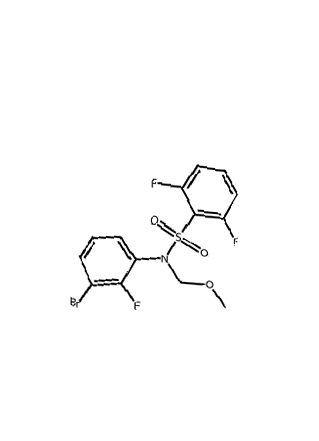 COCN(c1cccc(Br)c1F)S(=O)(=O)c1c(F)cccc1F